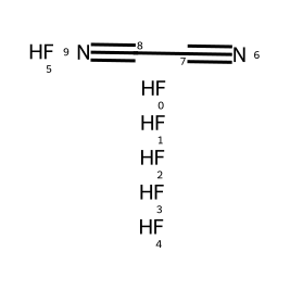 F.F.F.F.F.F.N#CC#N